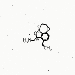 C=Cc1ccc2c3c1[C@@H](CN)OB3OCCO2